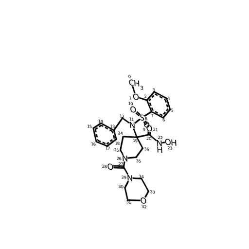 COc1ccccc1S(=O)(=O)N(Cc1ccccc1)C1(C(=O)NO)CCN(C(=O)N2CCOCC2)CC1